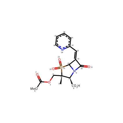 COC(=O)OC[C@@]1(C)[C@H](C(=O)O)N2C(=O)/C(=C/c3ccccn3)C2S1(=O)=O